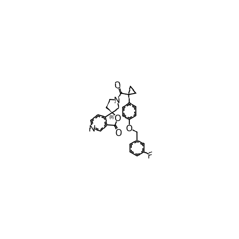 O=C1O[C@]2(CCN(C(=O)C3(c4ccc(OCc5cccc(F)c5)cc4)CC3)C2)c2ccncc21